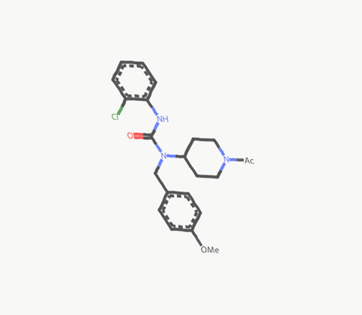 COc1ccc(CN(C(=O)Nc2ccccc2Cl)C2CCN(C(C)=O)CC2)cc1